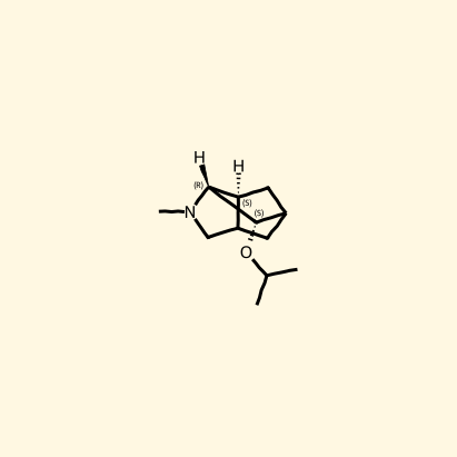 CC(C)O[C@H]1C2CC3CN(C)[C@@H]1[C@H]3C2